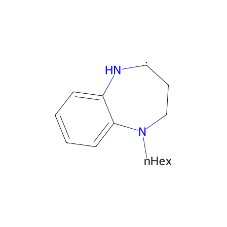 CCCCCCN1CC[CH]Nc2ccccc21